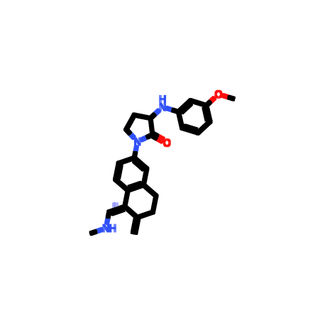 C=C1CCc2cc(N3CCC(Nc4cccc(OC)c4)C3=O)ccc2/C1=C/NC